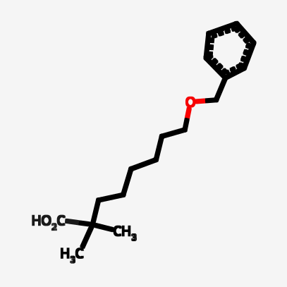 CC(C)(CCCCCCOCc1ccccc1)C(=O)O